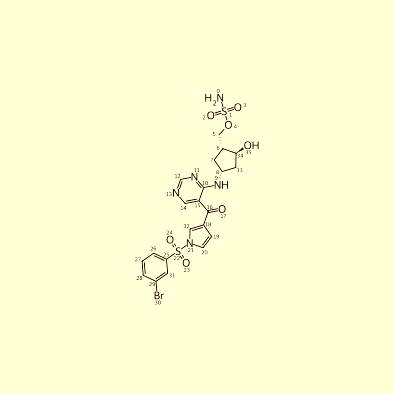 NS(=O)(=O)OC[C@H]1C[C@@H](Nc2ncncc2C(=O)c2ccn(S(=O)(=O)c3cccc(Br)c3)c2)C[C@@H]1O